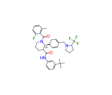 Cc1cccc(F)c1C(=O)N1CCCC(C(=O)Nc2cccc(C(C)(C)C)c2)[C@@H]1C1C=CC(CN2CCCC2C(F)(F)F)=CC1